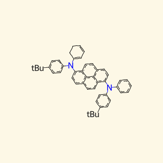 CC(C)(C)c1ccc(N(C2=CC=CCC2)c2ccc3ccc4c(N(c5ccccc5)c5ccc(C(C)(C)C)cc5)ccc5ccc2c3c54)cc1